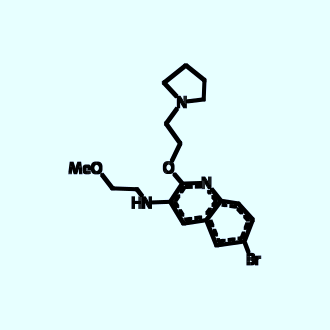 COCCNc1cc2cc(Br)ccc2nc1OCCN1CCCC1